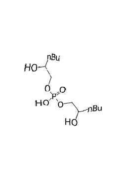 CCCCC(O)COP(=O)(O)OCC(O)CCCC